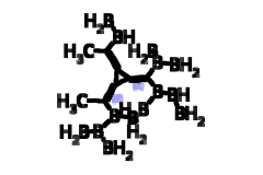 BBB(B)/C(B(B)B)=C1/C(=C(C)BB)/C1=C(\C)B(B)B(B)B